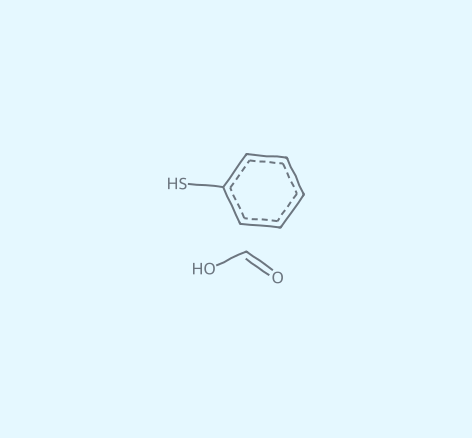 O=CO.Sc1ccccc1